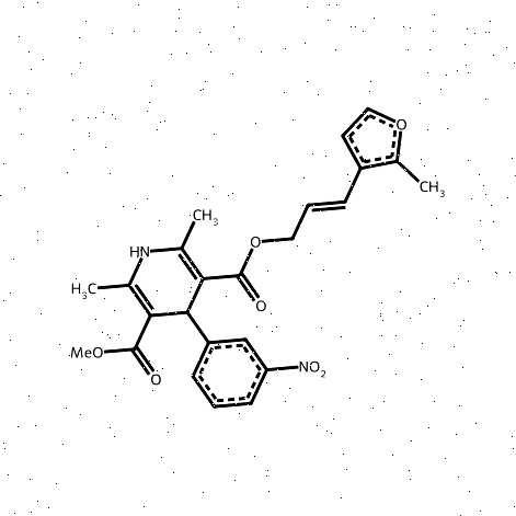 COC(=O)C1=C(C)NC(C)=C(C(=O)OC/C=C/c2ccoc2C)C1c1cccc([N+](=O)[O-])c1